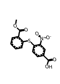 COC(=O)c1ccccc1Sc1ccc(C(=O)O)cc1[N+](=O)[O-]